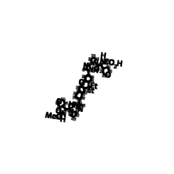 CCC1(CC)c2ccc(-c3cnc([C@@H]4CCCN4C(=O)C(NC(=O)O)C4CCOCC4)[nH]3)cc2Oc2cc3ccc(-c4cnc([C@@H]5CCCN5C(=O)C(NC(=O)OC)C5CCOCC5)[nH]4)cc3cc21